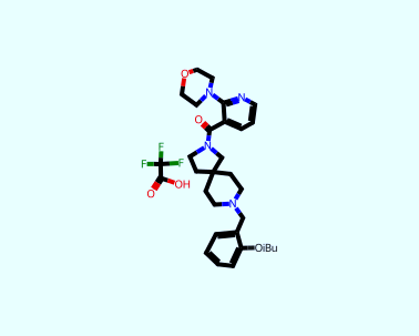 CC(C)COc1ccccc1CN1CCC2(CC1)CCN(C(=O)c1cccnc1N1CCOCC1)C2.O=C(O)C(F)(F)F